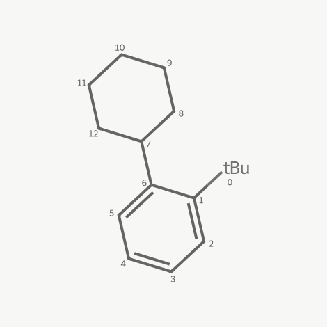 CC(C)(C)c1ccccc1C1CCCCC1